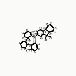 CC1(c2cccc3oc4ccccc4c23)CC=CC=C1Nc1ccc2c(c1)C(C)(C)c1ccccc1-2